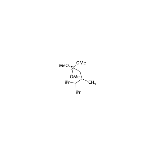 CO[Si](CC(C)C(C(C)C)C(C)C)(OC)OC